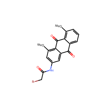 COc1cccc2c1C(=O)c1c(OC)cc(NC(=O)CBr)cc1C2=O